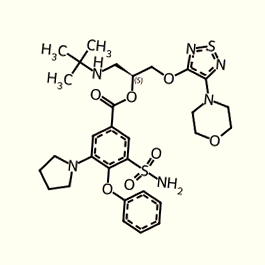 CC(C)(C)NC[C@@H](COc1nsnc1N1CCOCC1)OC(=O)c1cc(N2CCCC2)c(Oc2ccccc2)c(S(N)(=O)=O)c1